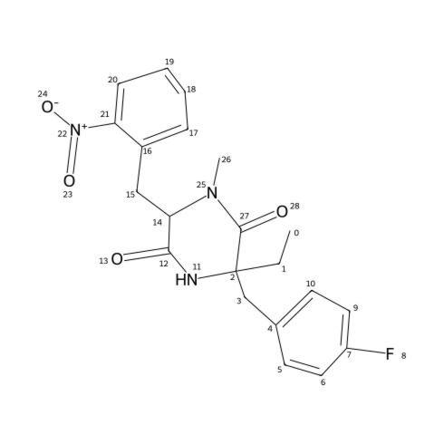 CCC1(Cc2ccc(F)cc2)NC(=O)C(Cc2ccccc2[N+](=O)[O-])N(C)C1=O